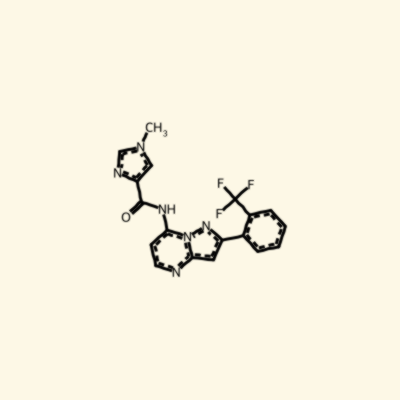 Cn1cnc(C(=O)Nc2ccnc3cc(-c4ccccc4C(F)(F)F)nn23)c1